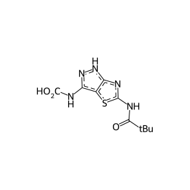 CC(C)(C)C(=O)Nc1nc2[nH]nc(NC(=O)O)c2s1